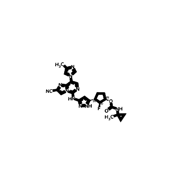 Cc1cn(-c2cnc(Nc3cc([C@@H]4CC[C@H](OC(=O)NC5(C)CC5)[C@H]4F)[nH]n3)n3cc(C#N)nc23)cn1